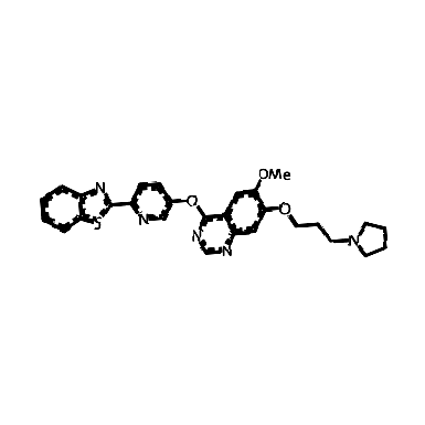 COc1cc2c(Oc3ccc(-c4nc5ccccc5s4)nc3)ncnc2cc1OCCCN1CCCC1